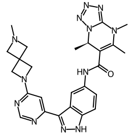 CC1=C(C(=O)Nc2ccc3[nH]nc(-c4cc(N5CC6(CN(C)C6)C5)ncn4)c3c2)[C@@H](C)n2nnnc2N1C